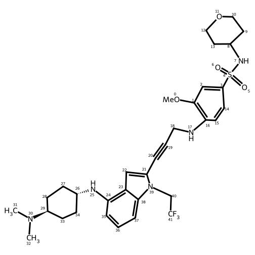 COc1cc(S(=O)(=O)NC2CCOCC2)ccc1NCC#Cc1cc2c(N[C@H]3CC[C@H](N(C)C)CC3)cccc2n1CC(F)(F)F